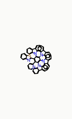 c1ccc(-c2c(-c3nc4ccccc4s3)c(-n3c4ccccc4c4ccccc43)c(-n3c4ccccc4c4ccccc43)c(-n3c4ccccc4c4ccccc43)c2-n2c3ccccc3c3ccccc32)nc1